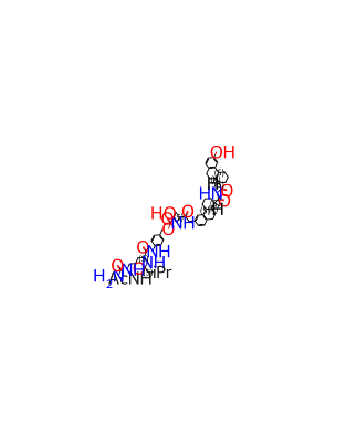 CC(=O)N[C@H](C(=O)N[C@@H](CCCNC(N)=O)C(=O)Nc1ccc(COC(=O)N[C@@H](CO)C(=O)Cc2ccc3c(c2)[C@@]2(C)CCC[C@](C)(C(=O)NC(=O)[C@@]4(C)CCC[C@]5(C)c6cc(O)ccc6CC[C@@H]45)[C@@H]2CC3)cc1)C(C)C